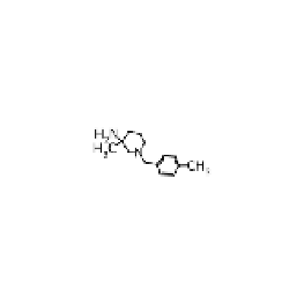 Cc1ccc(CN2CCCC(C)(N)C2)cc1